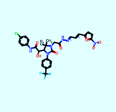 CC1(C)C(C(O)C(=O)Nc2ccc(Cl)cc2)N(c2ccc(C(F)(F)F)cc2)C(=O)N1CC(=O)N/N=C/C=C/c1ccc([N+](=O)[O-])o1